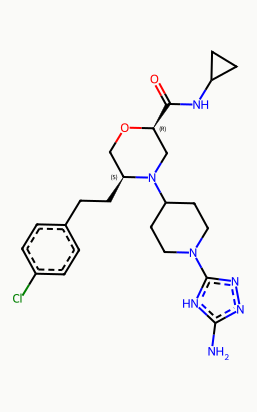 Nc1nnc(N2CCC(N3C[C@H](C(=O)NC4CC4)OC[C@@H]3CCc3ccc(Cl)cc3)CC2)[nH]1